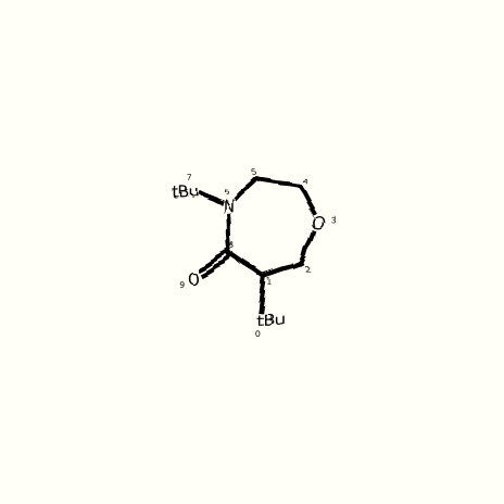 CC(C)(C)C1COCCN(C(C)(C)C)C1=O